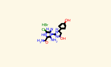 Br.N=C(NC(CCO)c1ccc(O)cc1)N1C(N)=C(Cl)NC(C(N)=O)=C1N